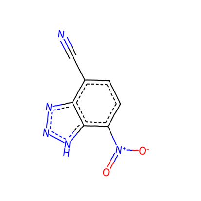 N#Cc1ccc([N+](=O)[O-])c2[nH]nnc12